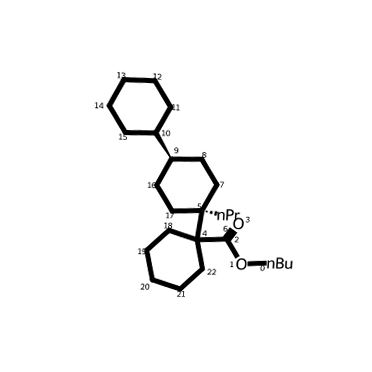 CCCCOC(=O)C1([C@]2(CCC)CC[C@H](C3CCCCC3)CC2)CCCCC1